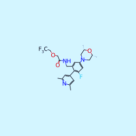 Cc1cc(-c2c(F)cc(N3C[C@@H](C)O[C@@H](C)C3)cc2CNC(=O)COCC(F)(F)F)cc(C)n1